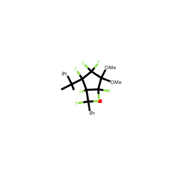 COC1(OC)C(F)(F)C(F)(C(C)(C)C(C)C)C(F)(C(F)(F)C(C)C)C1(F)F